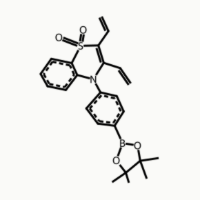 C=CC1=C(C=C)S(=O)(=O)c2ccccc2N1c1ccc(B2OC(C)(C)C(C)(C)O2)cc1